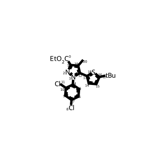 CCOC(=O)c1nn(-c2ccc(Cl)cc2Cl)c(-c2ccc(C(C)(C)C)s2)c1C